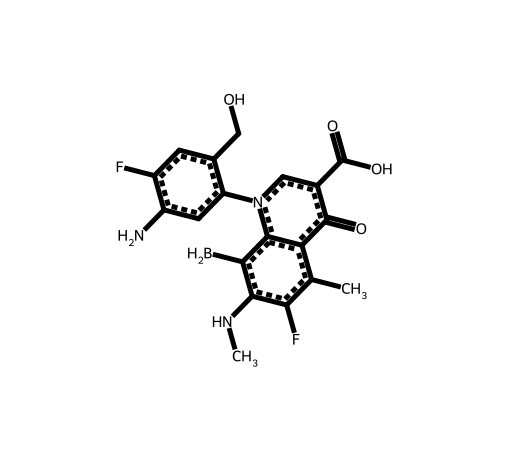 Bc1c(NC)c(F)c(C)c2c(=O)c(C(=O)O)cn(-c3cc(N)c(F)cc3CO)c12